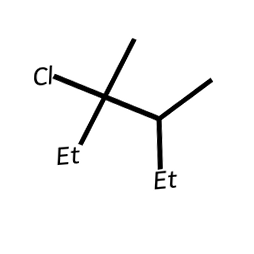 CCC(C)C(C)(Cl)CC